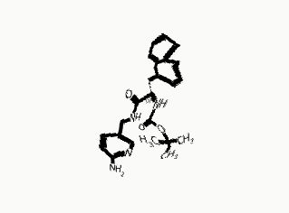 CC(C)(C)OC(=O)N[C@@H](Cc1cccc2ccccc12)C(=O)NCc1ccc(N)nc1